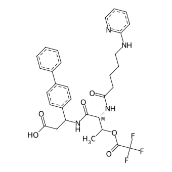 CC(OC(=O)C(F)(F)F)[C@@H](NC(=O)CCCCNc1ccccn1)C(=O)NC(CC(=O)O)c1ccc(-c2ccccc2)cc1